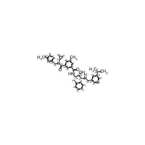 Cc1cc(C(=O)N[C@@H](Cc2ccccc2)[C@H](O)CNCc2cncc(C(C)C)c2)cc(C(=O)N(Cc2nc(C)cs2)C2CC2)c1